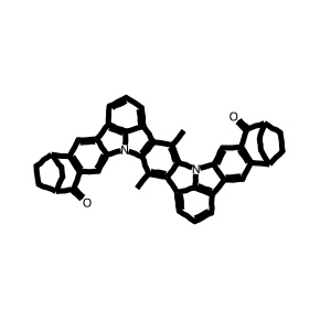 Cc1c2c3cccc4c5cc6c(cc5n(c2c(C)c2c5cccc7c8cc9c(cc8n(c12)c75)C(=O)C1CCC9CC1)c43)C(=O)C1CCC6CC1